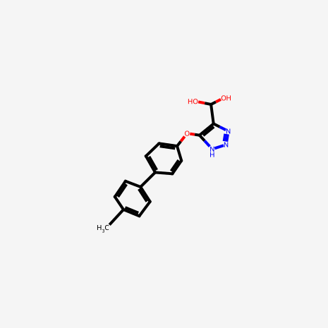 Cc1ccc(-c2ccc(Oc3[nH]nnc3C(O)O)cc2)cc1